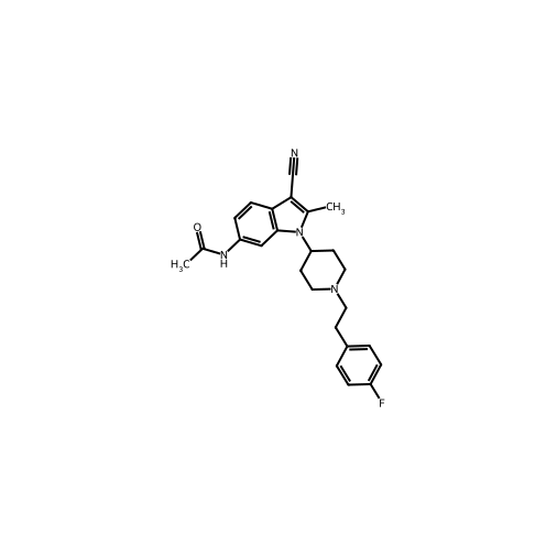 CC(=O)Nc1ccc2c(C#N)c(C)n(C3CCN(CCc4ccc(F)cc4)CC3)c2c1